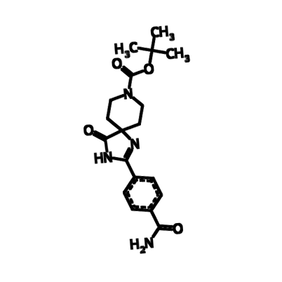 CC(C)(C)OC(=O)N1CCC2(CC1)N=C(c1ccc(C(N)=O)cc1)NC2=O